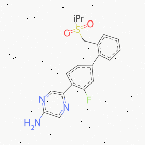 CC(C)S(=O)(=O)Cc1ccccc1-c1ccc(-c2cnc(N)cn2)c(F)c1